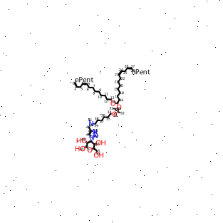 CCCCC/C=C\C/C=C\CCCCCCCCOC(CCCCCCC/C=C\C/C=C\CCCCC)O[Si](C)(C)OCCCCCCN(C)Cc1cn(C2C(O)C(O)OC(CO)C2O)nn1